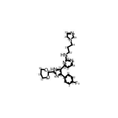 Fc1ccc(-c2nc(C3OCCCO3)[nH]c2-c2ccnc(NCCCN3CC=NC3)n2)cc1